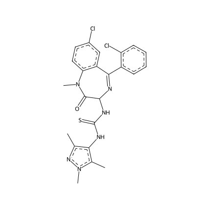 Cc1nn(C)c(C)c1NC(=S)NC1N=C(c2ccccc2Cl)c2cc(Cl)ccc2N(C)C1=O